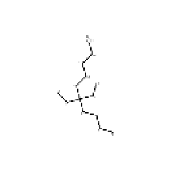 CCCCC(CC)(CC)CCCCO